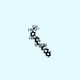 CC(=O)N[C@H]1CC[C@H](Nc2cc(C(=O)NC[C@H](C#N)CN3CCC4=C(CCC=C4)C3)ncn2)CC1